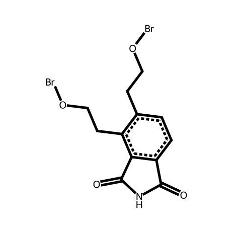 O=C1NC(=O)c2c1ccc(CCOBr)c2CCOBr